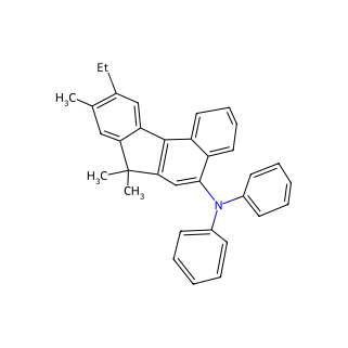 CCc1cc2c(cc1C)C(C)(C)c1cc(N(c3ccccc3)c3ccccc3)c3ccccc3c1-2